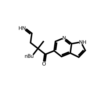 CCCCC(C)(CC=N)C(=O)c1cnc2[nH]ccc2c1